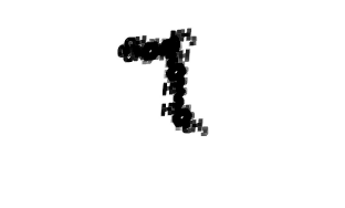 CC1CCC(NCCCNCC2CCC(CNc3nc(N)cc(N4CCN(CCP(=O)(O)O)CC4)n3)CC2)CC1